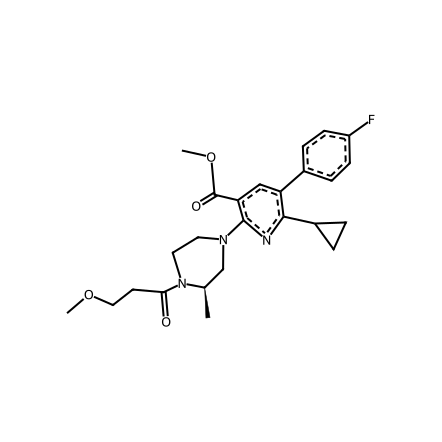 COCCC(=O)N1CCN(c2nc(C3CC3)c(-c3ccc(F)cc3)cc2C(=O)OC)C[C@H]1C